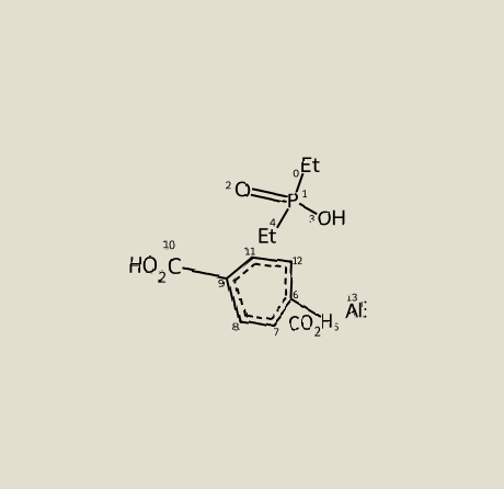 CCP(=O)(O)CC.O=C(O)c1ccc(C(=O)O)cc1.[Al]